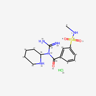 CNS(=O)(=O)c1cccc(C(=O)N(C(=N)N)C2CCCCN2)c1.Cl